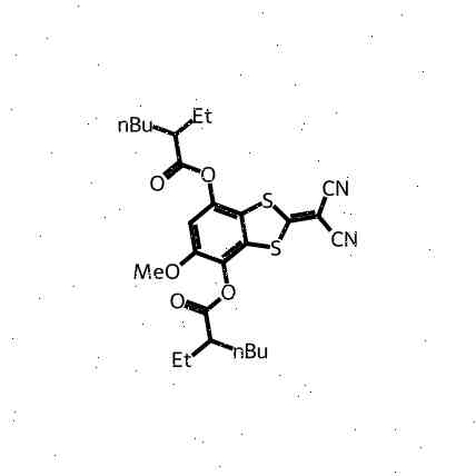 CCCCC(CC)C(=O)Oc1cc(OC)c(OC(=O)C(CC)CCCC)c2c1SC(=C(C#N)C#N)S2